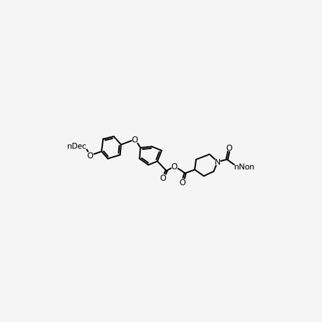 CCCCCCCCCCOc1ccc(Oc2ccc(C(=O)OC(=O)C3CCN(C(=O)CCCCCCCCC)CC3)cc2)cc1